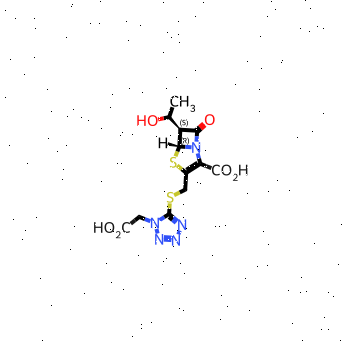 CC(O)[C@H]1C(=O)N2C(C(=O)O)=C(CSc3nnnn3CC(=O)O)S[C@H]12